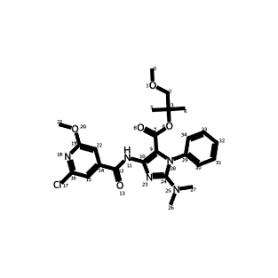 COCC(C)(C)OC(=O)c1c(NC(=O)c2cc(Cl)nc(OC)c2)nc(N(C)C)n1-c1ccccc1